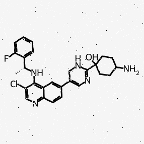 C[C@@H](Nc1c(Cl)cnc2ccc(C3=CN=C(C4(O)CCC(N)CC4)NC3)cc12)c1ccccc1F